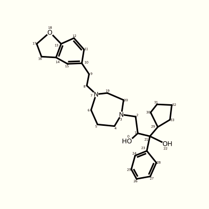 OC(CN1CCCN(CCc2ccc3c(c2)CCO3)CC1)C(O)(c1ccccc1)C1CCCC1